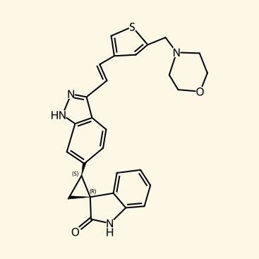 O=C1Nc2ccccc2[C@]12C[C@H]2c1ccc2c(C=Cc3csc(CN4CCOCC4)c3)n[nH]c2c1